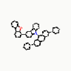 c1ccc(-c2ccc3c(-n4c5ccccc5c5cc(-c6cccc7c6oc6ccccc67)ccc54)c4cc(-c5ccccc5)ccc4cc3c2)cc1